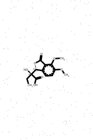 CC[C@@](O)(C(=O)O)[C@@H]1OC(=O)c2c1ccc(OC)c2OC